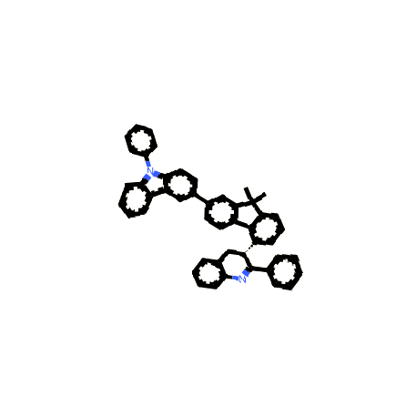 CC1(C)c2cc(-c3ccc4c(c3)c3ccccc3n4-c3ccccc3)ccc2-c2c([C@H]3Cc4ccccc4N=C3c3ccccc3)cccc21